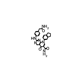 NC(=O)Cc1ccc(Nc2ncc3c(=O)c(C(N)=O)cn(-c4ccc5c(c4)CCC5)c3n2)cc1